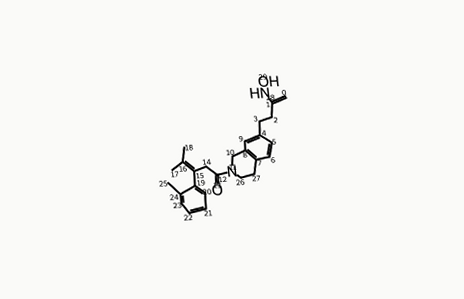 C=C(CCc1ccc2c(c1)CN(C(=O)CC(=C(C)C)c1ccccc1C)CC2)NO